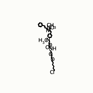 CN1C(=O)/C(=C/c2ccc(N(C)CCOC(=O)NCCOCCOCCCCCCCl)cc2)N=C1/C=C/c1ccccc1